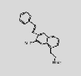 COc1cc2c(CCNC(C)=O)cccc2cc1C=Cc1ccccc1